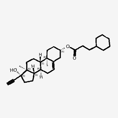 C#C[C@]1(O)CC[C@H]2[C@@H]3CC=C4C[C@@H](OC(=O)CCC5CCCCC5)CC[C@]4(C)[C@H]3CC[C@@]21C